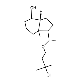 C[C@H](OCCC(C)(C)O)C1CC[C@H]2C(O)CCCC12C